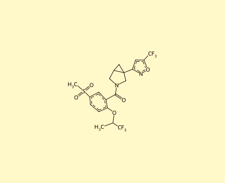 CC(Oc1ccc(S(C)(=O)=O)cc1C(=O)N1CC2CC2(c2cc(C(F)(F)F)on2)C1)C(F)(F)F